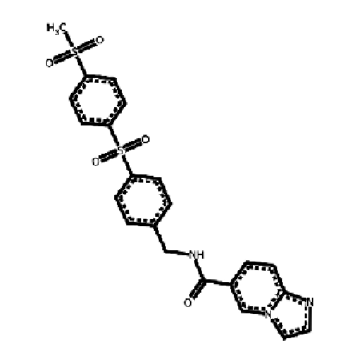 CS(=O)(=O)c1ccc(S(=O)(=O)c2ccc(CNC(=O)c3ccc4nccn4c3)cc2)cc1